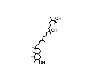 C/C(=C\CCC1(C)CCC2=C(O1)C(C)C(C)C(O)C2)CCCC(C)(O)CCCC(C)C(=O)O